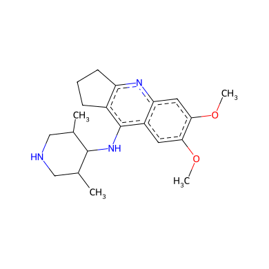 COc1cc2nc3c(c(NC4C(C)CNCC4C)c2cc1OC)CCC3